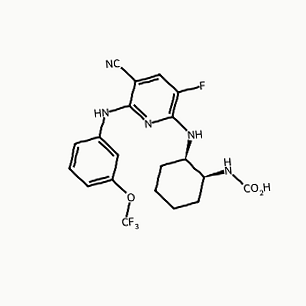 N#Cc1cc(F)c(N[C@@H]2CCCC[C@@H]2NC(=O)O)nc1Nc1cccc(OC(F)(F)F)c1